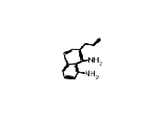 C=CCc1ccc2cccc(N)c2c1N